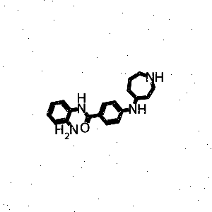 Nc1ccccc1NC(=O)c1ccc(NC2CCCNCC2)cc1